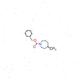 C=C1CCCN(C(=O)OCc2ccccc2)CC1